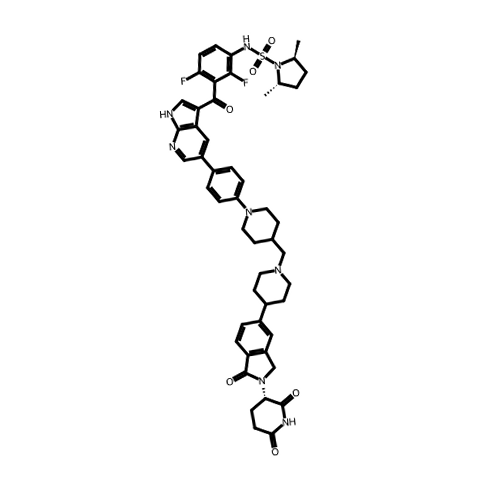 C[C@H]1CC[C@H](C)N1S(=O)(=O)Nc1ccc(F)c(C(=O)c2c[nH]c3ncc(-c4ccc(N5CCC(CN6CCC(c7ccc8c(c7)CN([C@H]7CCC(=O)NC7=O)C8=O)CC6)CC5)cc4)cc23)c1F